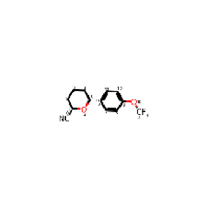 N#C[C@H]1CCC[C@H](c2ccc(OC(F)(F)F)cc2)O1